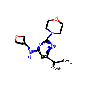 CSC(C)c1cc(NC2COC2)nc(N2CCOCC2)n1